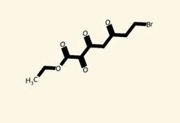 CCOC(=O)C(=O)C(=O)CC(=O)CCBr